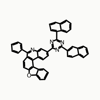 c1ccc(-c2nc3cc(-c4nc(-c5ccc6ccccc6c5)nc(-c5cccc6ccccc56)n4)ccc3c3c2ccc2oc4ccccc4c23)cc1